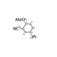 COc1ccc(C(C)C)cc1C#N